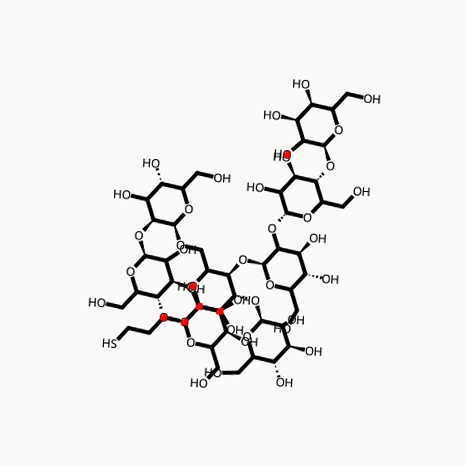 OCC1O[C@@H](OCC2O[C@H](OCCCS)C(O)[C@@H](O[C@@H]3OC(CO)[C@@H](O)[C@H](O)C3O)[C@@H]2O[C@@H]2OC(CO)[C@@H](O)[C@H](O)C2O[C@H]2OC(CO)[C@@H](O[C@@H]3OC(CO)[C@H](O)[C@H](O)C3O)[C@H](O)C2O)[C@@H](O[C@@H]2OC(CO)[C@@H](O[C@@H]3OC(CO)[C@H](O)[C@H](O)C3O)[C@H](O)C2O)C(O)[C@@H]1O